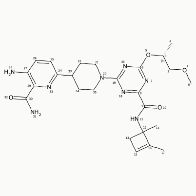 COC[C@@H](C)Oc1nc(C(=O)NC2(C)CC=C2C)nc(N2CCC(c3ccc(N)c(C(N)=O)n3)CC2)n1